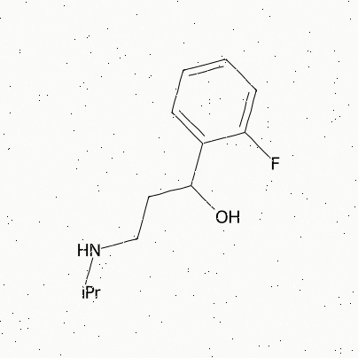 CC(C)NCCC(O)c1ccccc1F